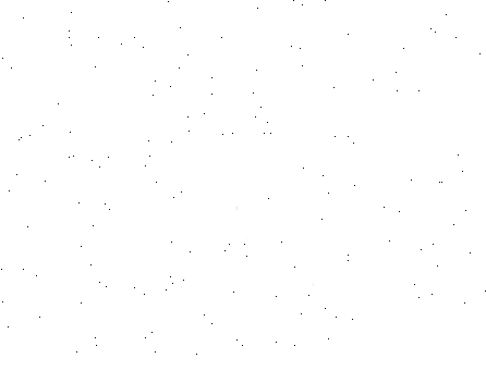 CCOC(=O)/C=C(C)/C=C/C=C(C)/C=C\c1c(C)cc(OC(F)(F)F)c(C)c1C